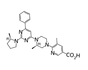 Cc1cc(C(=O)O)cnc1N1CCN(c2cc(-c3ccccc3)nc(N3CCC[C@H]3C)n2)[C@H](C)C1